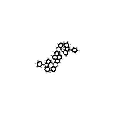 Fc1ccccc1N(c1ccc2ccc3c(N(c4ccccc4F)c4cccc5c4c4ccccc4n5-c4ccccc4)ccc4ccc1c2c43)c1cccc2c1c1ccccc1n2-c1ccccc1